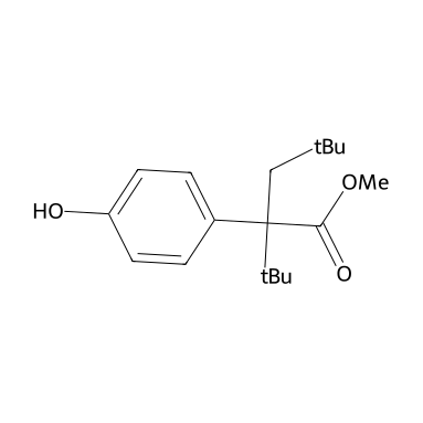 COC(=O)C(CC(C)(C)C)(c1ccc(O)cc1)C(C)(C)C